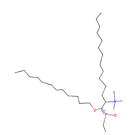 CCCCCCCCCCCCO/C(C(CCCCCCCCCCCC)[N+](C)(C)C)=[P+](/[O-])CC